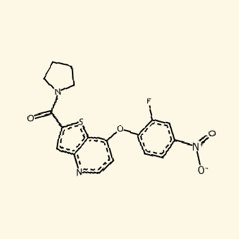 O=C(c1cc2nccc(Oc3ccc([N+](=O)[O-])cc3F)c2s1)N1CCCC1